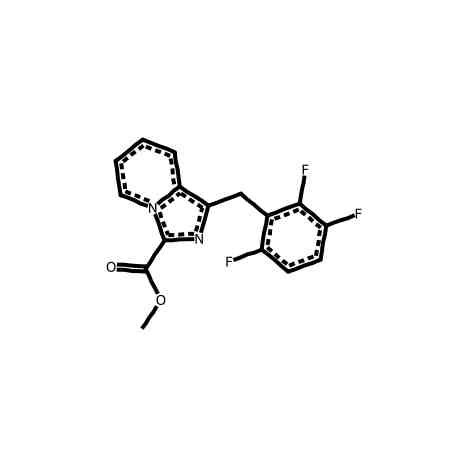 COC(=O)c1nc(Cc2c(F)ccc(F)c2F)c2ccccn12